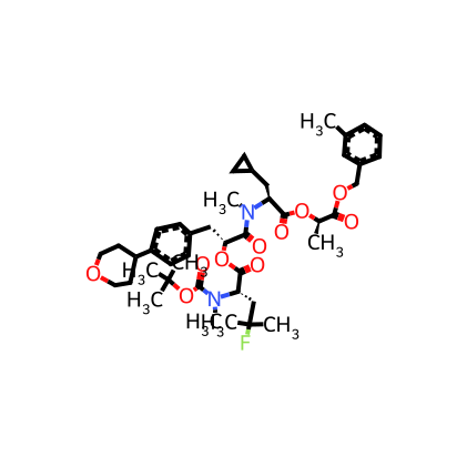 Cc1cccc(COC(=O)[C@@H](C)OC(=O)[C@H](CC2CC2)N(C)C(=O)[C@@H](Cc2ccc(C3CCOCC3)cc2)OC(=O)[C@H](CC(C)(C)F)N(C)C(=O)OC(C)(C)C)c1